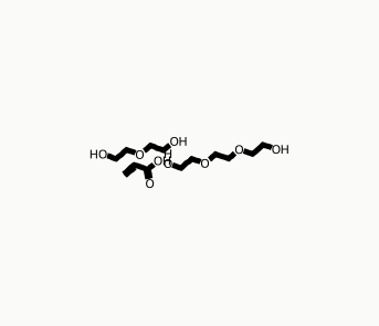 C=CC(=O)O.OCCOCCO.OCCOCCOCCO